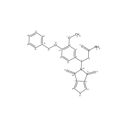 COc1cc(C(CC(N)=O)N2C(=O)c3cscc3C2=O)ccc1OCc1ccccc1